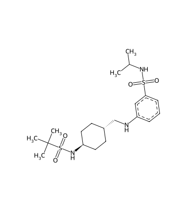 CC(C)NS(=O)(=O)c1cccc(NC[C@H]2CC[C@H](NS(=O)(=O)C(C)(C)C)CC2)c1